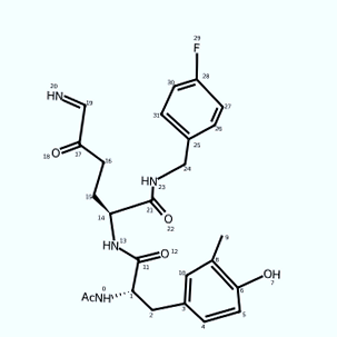 CC(=O)N[C@@H](Cc1ccc(O)c(C)c1)C(=O)N[C@@H](CCC(=O)C=N)C(=O)NCc1ccc(F)cc1